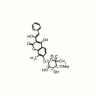 CO[C@@H]1[C@H](O)[C@@H](O)[C@H](Oc2ccc3c(O)c(C(O)=Cc4ccccn4)c(=O)oc3c2C)OC1(C)C